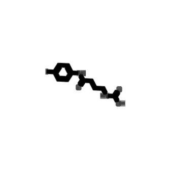 O=C(O)NCCCC(=O)Nc1ccc(I)cc1